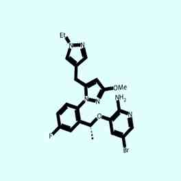 CCn1cc(Cc2cc(OC)nn2-c2ccc(F)cc2[C@@H](C)Oc2cc(Br)cnc2N)cn1